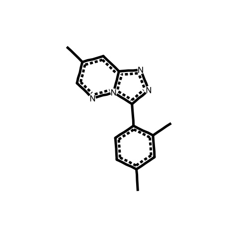 Cc1ccc(-c2nnc3cc(C)cnn23)c(C)c1